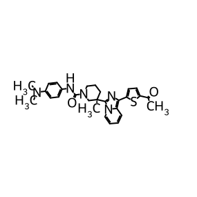 CC(=O)c1ccc(-c2nc([C@@]3(C)CCCN(C(=O)Nc4ccc(N(C)C)cc4)C3)n3ccccc23)s1